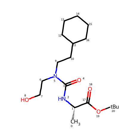 C[C@H](NC(=O)N(CCO)CCC1CCCCC1)C(=O)OC(C)(C)C